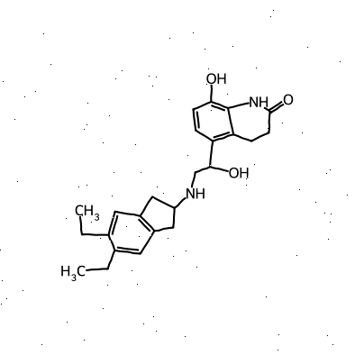 CCc1cc2c(cc1CC)CC(NCC(O)c1ccc(O)c3c1CCC(=O)N3)C2